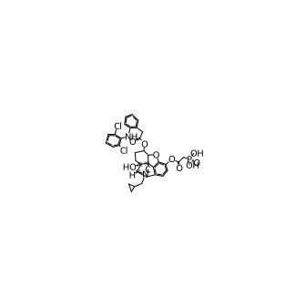 O=C(CP(=O)(O)O)Oc1ccc2c3c1OC1C(OC(=O)Cc4ccccc4Nc4c(Cl)cccc4Cl)CC[C@@]4(O)[C@@H](C2)N(CC2CC2)CC[C@]314